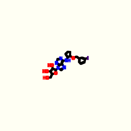 OCC1OC(n2cnc3c(NC4CCCC4OCc4cccc(I)c4)ncnc32)C(O)C1O